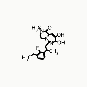 CCc1cccc(C(C)CC2=NC(O)C(O)=CC3C(=O)N(C)CCN23)c1F